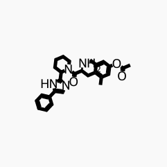 CC(=O)Oc1cc(C)c(C[C@H](N)C(=O)N2CCCCC2c2ncc(-c3ccccc3)[nH]2)c(C)c1